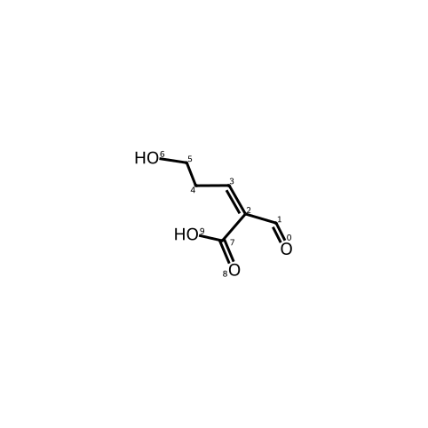 O=CC(=CCCO)C(=O)O